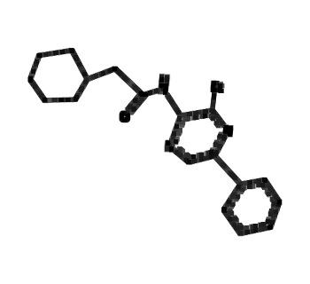 CCc1nc(-c2ccccc2)cnc1NC(=O)CC1CCCCC1